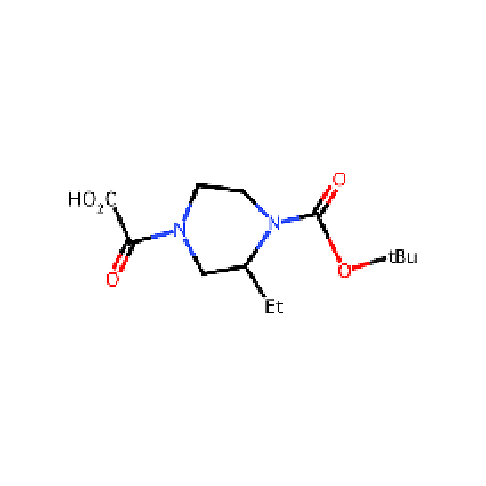 CCC1CN(C(=O)C(=O)O)CCN1C(=O)OC(C)(C)C